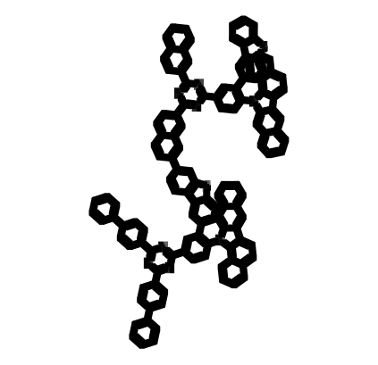 c1ccc(-c2ccc(-c3nc(-c4ccc(-c5ccccc5)cc4)nc(-c4ccc(-n5c6cc7ccccc7cc6c6ccc7ccccc7c65)c(-c5ccc6sc7cc(-c8ccc9ccc(-c%10nc(-c%11ccc(-n%12c%13cc%14ccccc%14cc%13c%13ccc%14ccccc%14c%13%12)c(-c%12ccc%13sc%14ccccc%14c%13c%12)c%11)nc(-c%11ccc%12ccccc%12c%11)n%10)cc9c8)ccc7c6c5)c4)n3)cc2)cc1